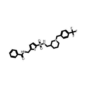 O=C(NCc1ccc(S(=O)(=O)NCC2CCCN(Cc3ccc(C(F)(F)F)cc3)C2)s1)c1ccccc1